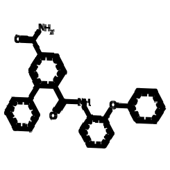 NC(=O)c1ccc(C(=O)Nc2ccccc2Oc2ccccc2)c(-c2ccccc2)c1